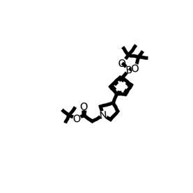 CC(C)(C)OC(=O)CN1CCC(c2ccc(B3OC(C)(C)C(C)(C)O3)cc2)C1